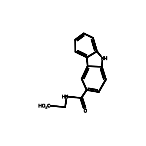 O=C(O)CNC(=O)c1ccc2[nH]c3ccccc3c2c1